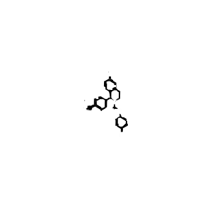 O=C(Nc1ccc(F)cc1)N1CCc2cc(F)ccc2C1c1ccc(C(F)(F)F)cc1